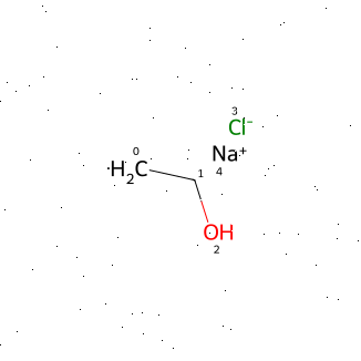 [CH2]CO.[Cl-].[Na+]